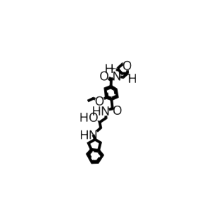 CCOc1cc(C(=O)N2C[C@H]3C[C@@H]2CO3)ccc1C(=O)NC[C@@H](O)CNC1Cc2ccccc2C1